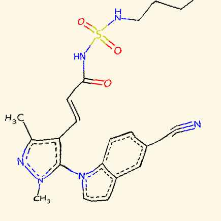 CCCCNS(=O)(=O)NC(=O)/C=C/c1c(C)nn(C)c1-n1ccc2cc(C#N)ccc21